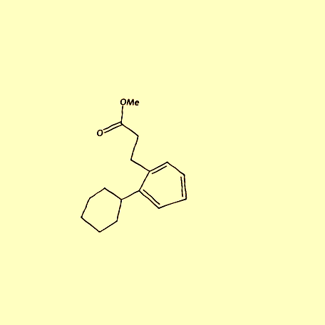 COC(=O)CCc1ccccc1C1CCCCC1